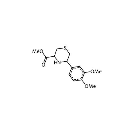 COC(=O)C1CSCC(c2ccc(OC)c(OC)c2)N1